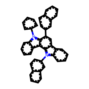 c1ccc(-n2c3ccccc3c3c2c(-c2ccc4ccccc4c2)cc2c4ccccc4n(-c4ccc5ccccc5c4)c23)cc1